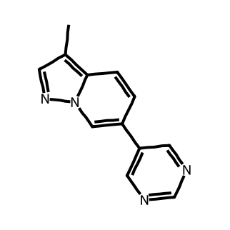 Cc1cnn2cc(-c3cncnc3)ccc12